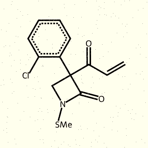 C=CC(=O)C1(c2ccccc2Cl)CN(SC)C1=O